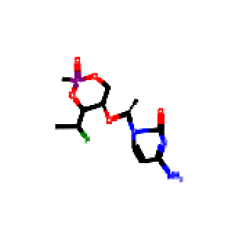 CC(F)C1OP(C)(=O)OC[C@H]1O[C@H](C)n1ccc(N)nc1=O